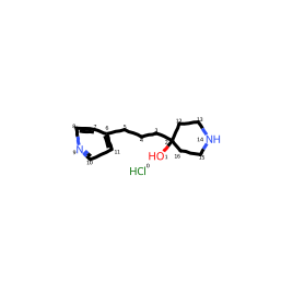 Cl.OC1(CCCc2ccncc2)CCNCC1